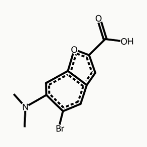 CN(C)c1cc2oc(C(=O)O)cc2cc1Br